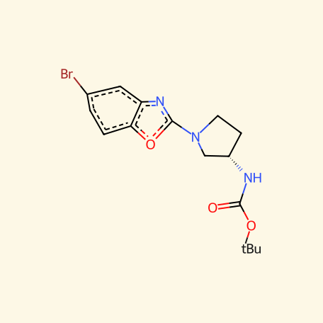 CC(C)(C)OC(=O)N[C@H]1CCN(c2nc3cc(Br)ccc3o2)C1